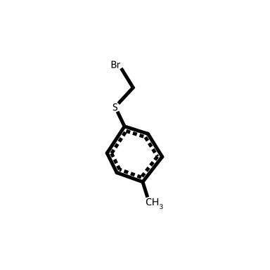 Cc1ccc(SCBr)cc1